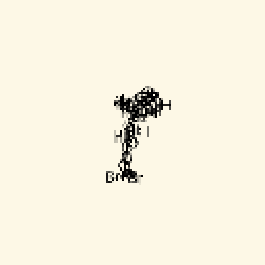 COc1cccc2c1C(=O)c1c(O)c3c(c(O)c1C2=O)C[C@@](O)(C(=O)NNC(=O)CCSCC(=O)NCCNC(=O)CCOCCOCCOc1cc(CBr)nc(CBr)c1)C[C@@H]3O[C@H]1C[C@H]2[C@H](O[C@@H]3[C@@H](OC)OCCN32)[C@H](C)O1